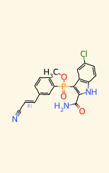 COP(=O)(c1cccc(/C=C/C#N)c1)c1c(C(N)=O)[nH]c2ccc(Cl)cc12